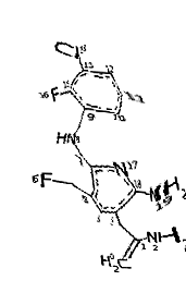 C=C(N)c1cc(F)c(Nc2cccc(Cl)c2F)nc1N